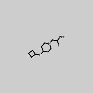 CCCC(F)CN1CCC(OC2CCC2)CC1